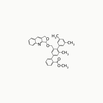 COC(=O)c1ccccc1-c1cc(C)c(-c2cc(C)cc(C)c2)c(COC2OCc3cc4ccccc4nc32)c1